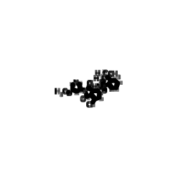 COc1cncc(N2C(=O)c3c(Cl)ccc(NS(=O)(=O)c4ccccc4C(C)(C)C)c3C2=O)c1